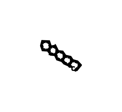 [c]1c2ccccc2[c]c2cc3cc4ccccc4cc3cc12